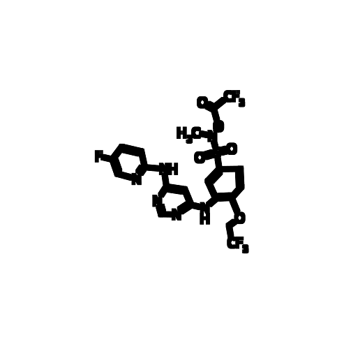 CN(OC(=O)C(F)(F)F)S(=O)(=O)c1ccc(OCC(F)(F)F)c(Nc2cc(Nc3ccc(F)cn3)ncn2)c1